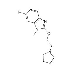 Cn1c(OCCN2CCCC2)nc2ccc(I)cc21